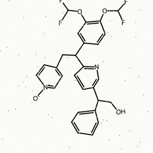 [O-][n+]1ccc(CC(c2ccc(OC(F)F)c(OC(F)F)c2)c2ccc(C(CO)c3ccccc3)cn2)cc1